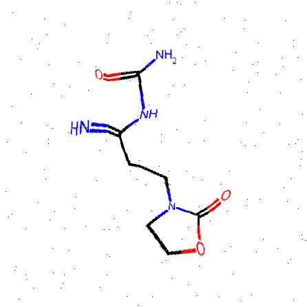 N=C(CCN1CCOC1=O)NC(N)=O